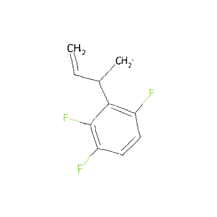 [CH2]C(C=C)c1c(F)ccc(F)c1F